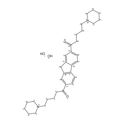 Cl.Cl.O=C(CCCCN1CCCCC1)c1ccc2c(c1)Cc1cc(C(=O)CCCCN3CCCCC3)ccc1-2